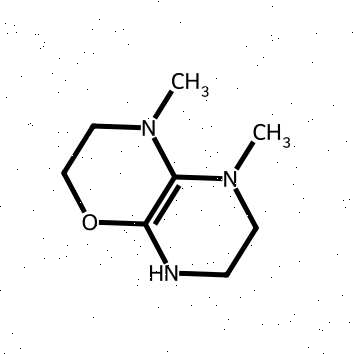 CN1CCNC2=C1N(C)CCO2